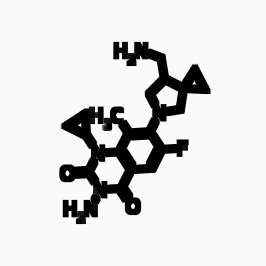 Cc1c(N2CC(CN)C3(CC3)C2)c(F)cc2c(=O)n(N)c(=O)n(C3CC3)c12